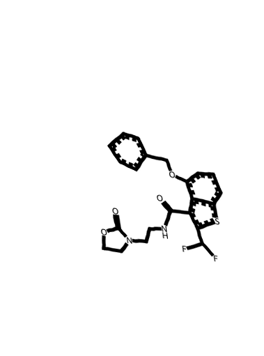 O=C(NCCN1CCOC1=O)c1c(C(F)F)sc2cccc(OCc3ccccc3)c12